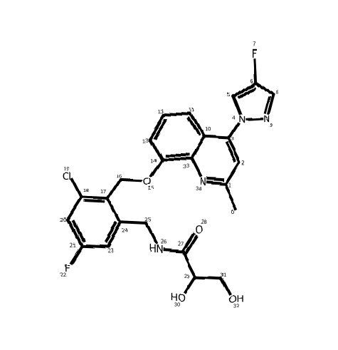 Cc1cc(-n2cc(F)cn2)c2cccc(OCc3c(Cl)cc(F)cc3CNC(=O)C(O)CO)c2n1